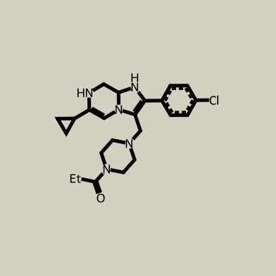 CCC(=O)N1CCN(CC2=C(c3ccc(Cl)cc3)NC3CNC(C4CC4)=CN23)CC1